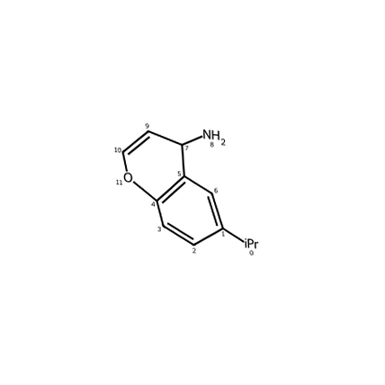 CC(C)c1ccc2c(c1)C(N)C=CO2